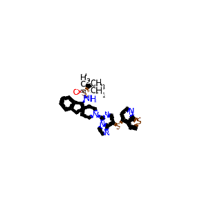 CC(C)(C)[S@@+]([O-])N[C@@H]1c2ccccc2CC12CCN(c1ncc(Sc3ccnc4sccc34)c3nccn13)CC2